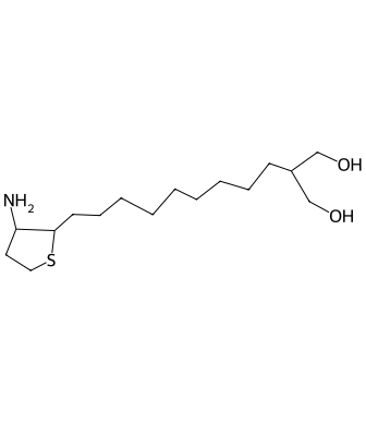 NC1CCSC1CCCCCCCCCC(CO)CO